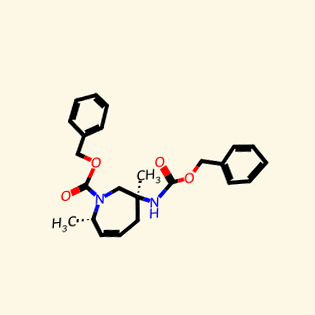 C[C@H]1C=CC[C@](C)(NC(=O)OCc2ccccc2)CN1C(=O)OCc1ccccc1